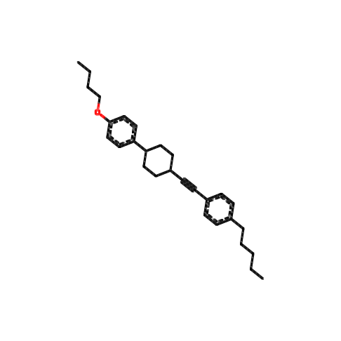 CCCCCc1ccc(C#CC2CCC(c3ccc(OCCCC)cc3)CC2)cc1